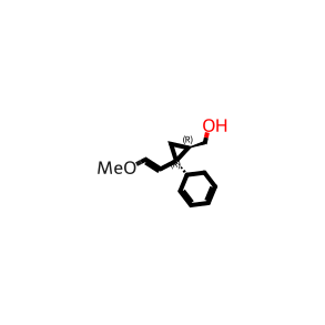 COC=C[C@@]1(C2C=CC=CC2)C[C@H]1CO